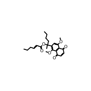 CCCC=CC(=O)OC(C)(CCCC)c1cc(OC)c2c(c1OC)C(=O)C=CC2=O